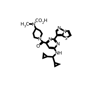 CN(C(=O)O)C1CCN(C(=O)c2cc(NC(C3CC3)C3CC3)nc(-c3cnn4ccsc34)n2)CC1